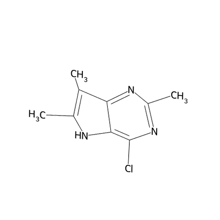 Cc1nc(Cl)c2[nH]c(C)c(C)c2n1